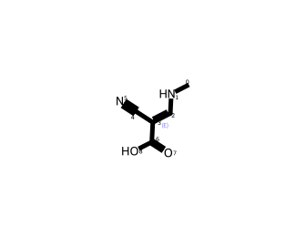 CN/C=C(\C#N)C(=O)O